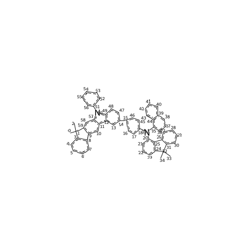 CC1(C)c2ccccc2-c2cc3c4cc(-c5ccc(N(c6cccc7c6-c6ccccc6C7(C)C)c6cccc7ccccc67)cc5)ccc4n(-c4ccccc4)c3cc21